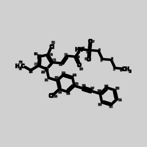 CCCCCS(=O)(=O)NC(=O)C=Cc1c(Cl)nc(CC)n1Cc1ccc(C#Cc2ccccc2)cc1Cl